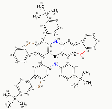 CC(C)(C)c1ccc(N2B3c4cc5oc6ccccc6c5cc4-n4c5ccc(C(C)(C)C)cc5c5c6sc7ccccc7c6c(c3c54)-c3cc4c(cc32)sc2cc(C(C)(C)C)ccc24)cc1